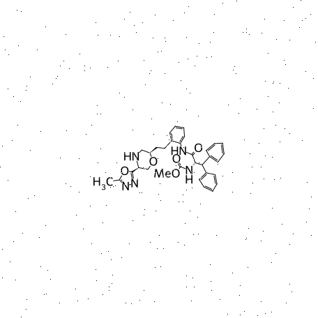 COC(=O)N[C@H](C(=O)Nc1ccccc1CC[C@@H]1CN[C@H](c2nnc(C)o2)CO1)C(c1ccccc1)c1ccccc1